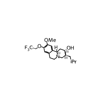 COc1cc2c(cc1OCC(F)(F)F)CCN1C[C@H](CC(C)C)[C@@H](O)C[C@@H]21